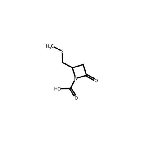 CSCC1CC(=O)N1C(=O)O